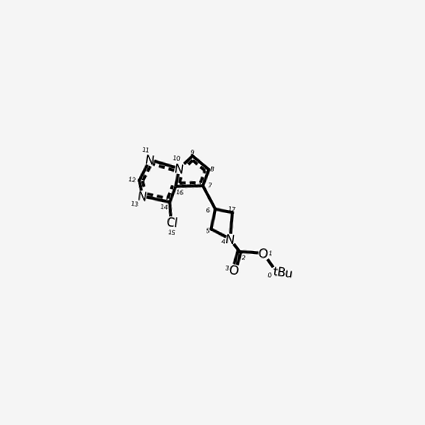 CC(C)(C)OC(=O)N1CC(c2ccn3ncnc(Cl)c23)C1